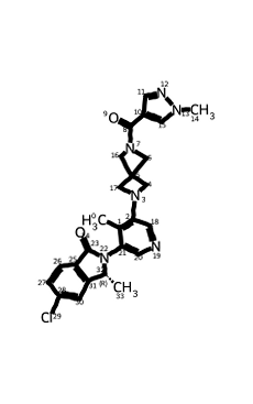 Cc1c(N2CC3(CN(C(=O)c4cnn(C)c4)C3)C2)cncc1N1C(=O)c2ccc(Cl)cc2[C@H]1C